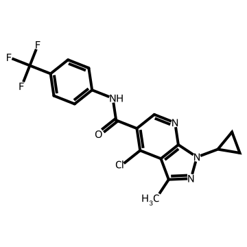 Cc1nn(C2CC2)c2ncc(C(=O)Nc3ccc(C(F)(F)F)cc3)c(Cl)c12